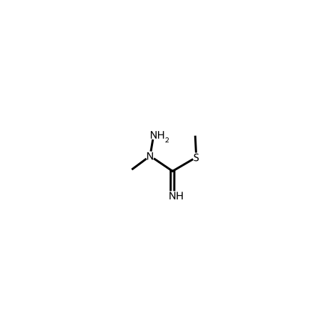 CSC(=N)N(C)N